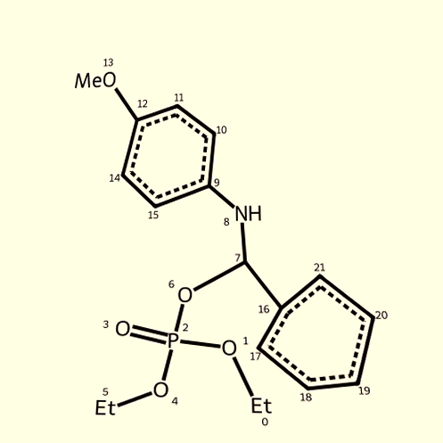 CCOP(=O)(OCC)OC(Nc1ccc(OC)cc1)c1ccccc1